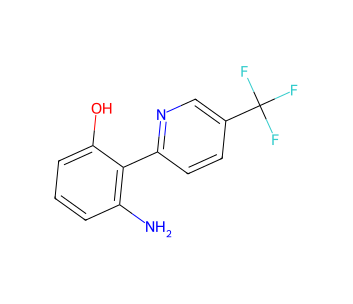 Nc1cccc(O)c1-c1ccc(C(F)(F)F)cn1